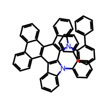 c1ccc(-c2ccccc2-n2c3ccccc3c3c4c5ccccc5c5ccccc5c4c4c5ccccc5n(-c5ccccc5-c5ccccc5)c4c32)cc1